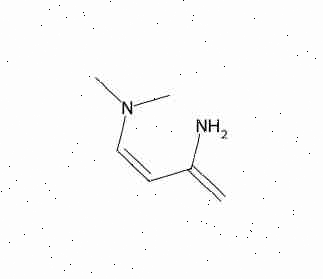 C=C(N)/C=C\N(C)C